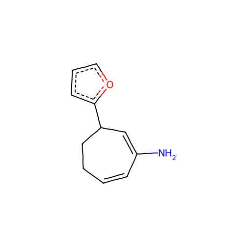 NC1=CC(c2ccco2)CCC=C1